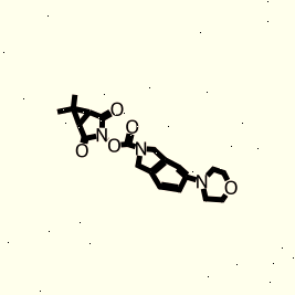 CC1(C)C2C(=O)N(OC(=O)N3Cc4ccc(N5CCOCC5)cc4C3)C(=O)C21